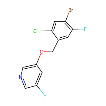 Fc1cncc(OCc2cc(F)c(Br)cc2Cl)c1